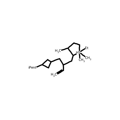 C=CC(CC1CC(C(C)CCC)C1)CC1C(C)CC[SH]1(C)(C)CC